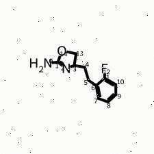 NC1=NC(CCc2ccccc2F)CO1